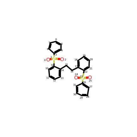 O=S(=O)(c1ccccc1)c1ccccc1CCc1ccccc1S(=O)(=O)c1ccccc1